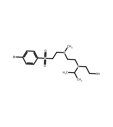 CC(C)N(CCS)CCN(C)CCS(=O)(=O)c1ccc(Br)cc1